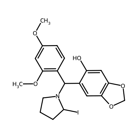 COc1ccc(C(c2cc3c(cc2O)OCO3)N2CCCC2I)c(OC)c1